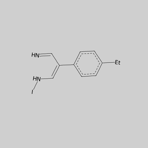 CCc1ccc(/C(C=N)=C/NI)cc1